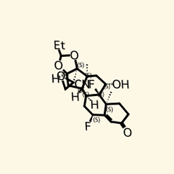 CCC1O[C@@H]2C[C@H]3[C@@H]4C[C@H](F)C5=CC(=O)CC[C@]5(C)[C@@]4(F)[C@@H](O)C[C@]3(C)[C@]2(C2(C#N)CO2)O1